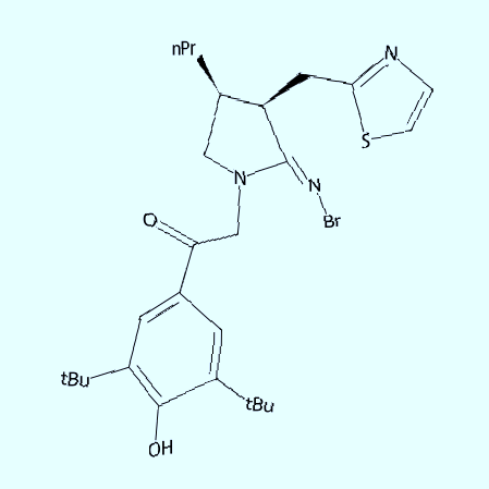 CCC[C@@H]1CN(CC(=O)c2cc(C(C)(C)C)c(O)c(C(C)(C)C)c2)/C(=N\Br)[C@@H]1Cc1nccs1